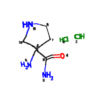 Cl.Cl.NC(=O)C1(N)CCNC1